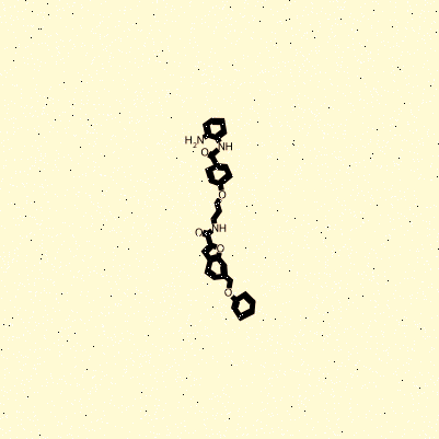 Nc1ccccc1NC(=O)c1ccc(OCCCNC(=O)c2cc3ccc(COc4ccccc4)cc3o2)cc1